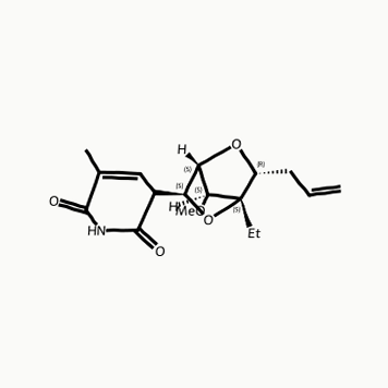 C=CC[C@H]1O[C@H]2[C@H](C3C=C(C)C(=O)NC3=O)O[C@]1(CC)[C@H]2OC